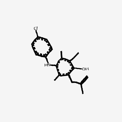 C=C(C)Cc1c(C)c(Nc2ccc(Cl)cc2)c(C)c(C)c1O